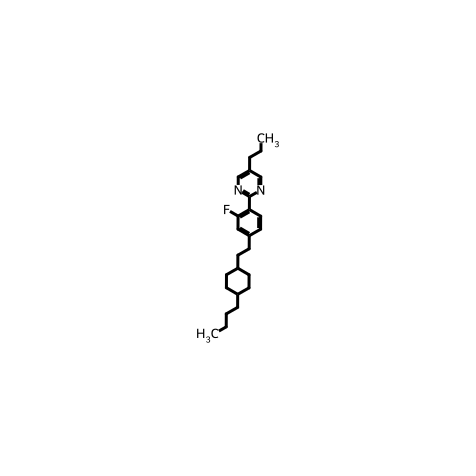 CCCCC1CCC(CCc2ccc(-c3ncc(CCC)cn3)c(F)c2)CC1